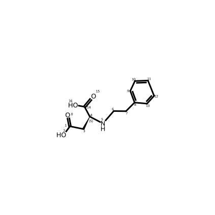 O=C(O)C[C@H](NCCc1ccccc1)C(=O)O